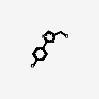 ClCc1cnc(-c2ccc(Cl)cc2)s1